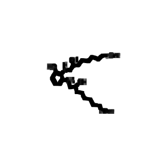 CCCCCCCCCCCCCCCCC(O)CNc1cccc(O)c1NCC(O)CCCCCCCCCCCCCCCC